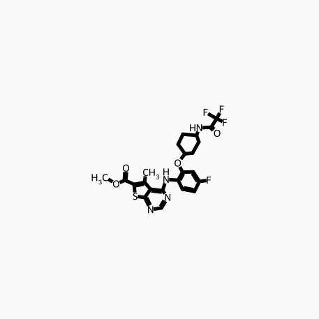 COC(=O)c1sc2ncnc(Nc3ccc(F)cc3OC3CCC(NC(=O)C(F)(F)F)CC3)c2c1C